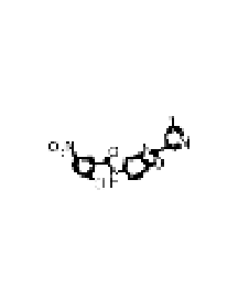 Cc1cncc(-c2nc3cc(NC(=O)c4cc([N+](=O)[O-])ccc4Cl)ccc3o2)c1